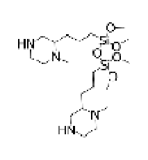 CO[Si](CCCC1CNCCN1C)(OC)O[Si](CCCC1CNCCN1C)(OC)OC